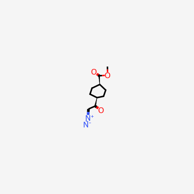 COC(=O)[C@H]1CC[C@@H](C(=O)C=[N+]=[N-])CC1